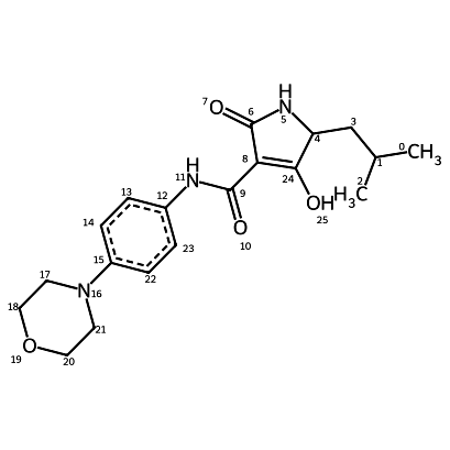 CC(C)CC1NC(=O)C(C(=O)Nc2ccc(N3CCOCC3)cc2)=C1O